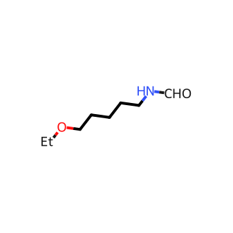 CCOCCCCCNC=O